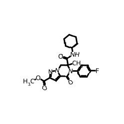 COC(=O)c1cc2n(n1)CC(C)(C(=O)NC1CCCCC1)N(c1ccc(F)cc1)C2=O